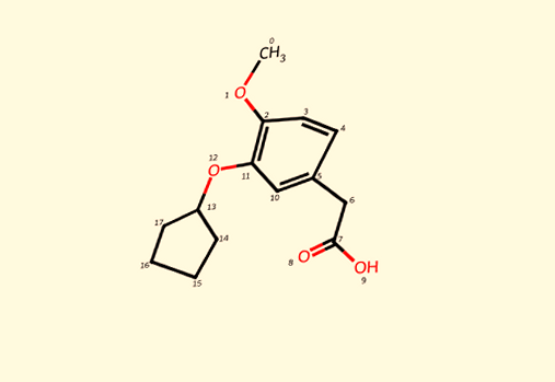 COc1ccc(CC(=O)O)cc1OC1CCCC1